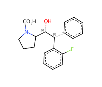 O=C(O)N1CCCC1[C@H](O)[C@H](c1ccccc1)c1ccccc1F